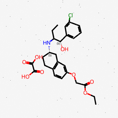 CCOC(=O)COc1ccc2c(c1)C[C@@H](NC(CC)[C@@H](O)c1cccc(Cl)c1)CC2.O=C(O)C(=O)O